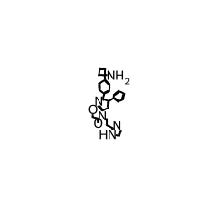 NC1(c2ccc(-c3nc4c(cc3-c3ccccc3)N(CCc3ncc[nH]3)C(=O)CO4)cc2)CCC1